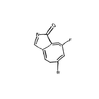 O=C1N=Cc2cc(Br)cc(F)c21